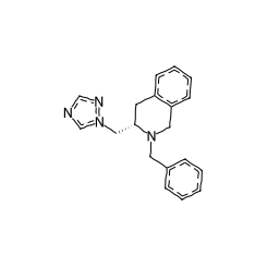 c1ccc(CN2Cc3ccccc3C[C@H]2Cn2cncn2)cc1